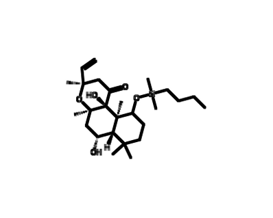 C=C[C@@]1(C)CC(=O)[C@@]2(O)[C@@](C)(C[C@@H](O)[C@H]3C(C)(C)CCC(O[Si](C)(C)CCCC)[C@@]32C)O1